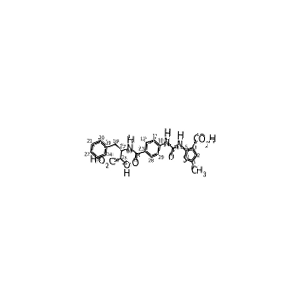 Cc1cc(C(=O)O)c(NC(=O)Nc2ccc(C(=O)N[C@H](Cc3ccccc3)[C@@H](O)C(=O)O)cc2)s1